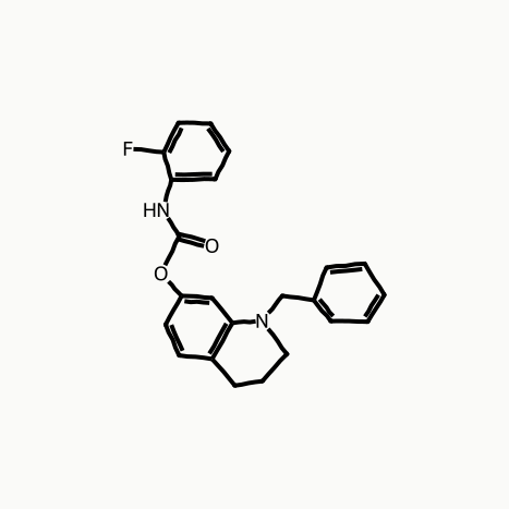 O=C(Nc1ccccc1F)Oc1ccc2c(c1)N(Cc1ccccc1)CCC2